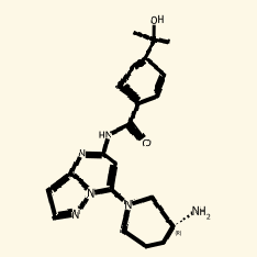 CC(C)(O)c1ccc(C(=O)Nc2cc(N3CCC[C@@H](N)C3)n3nccc3n2)cc1